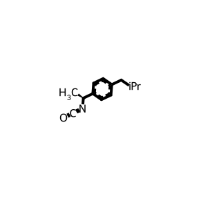 CC(C)Cc1ccc([C@H](C)N=C=O)cc1